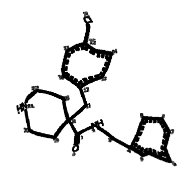 O=C(NCc1ccccc1)C1(Cc2ccc(Cl)cc2)CCNCC1